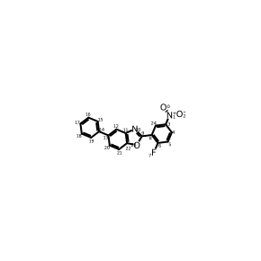 O=[N+]([O-])c1ccc(F)c(-c2nc3cc(-c4ccccc4)ccc3o2)c1